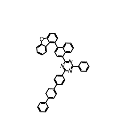 C1=C(c2ccccc2)CCC(c2ccc(-c3nc(-c4ccccc4)nc(-c4ccc(-c5cccc6oc7ccccc7c56)c5ccccc45)n3)cc2)=C1